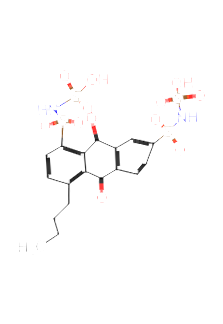 CCCCc1ccc(S(=O)(=O)NS(=O)(=O)O)c2c1C(=O)c1ccc(S(=O)(=O)NS(=O)(=O)O)cc1C2=O